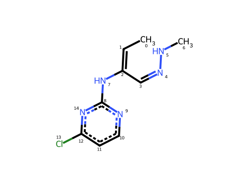 C/C=C(\C=N/NC)Nc1nccc(Cl)n1